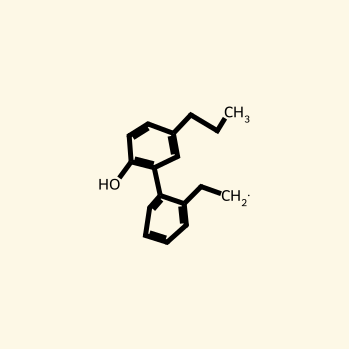 [CH2]Cc1ccccc1-c1cc(CCC)ccc1O